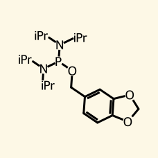 CC(C)N(C(C)C)P(OCc1ccc2c(c1)OCO2)N(C(C)C)C(C)C